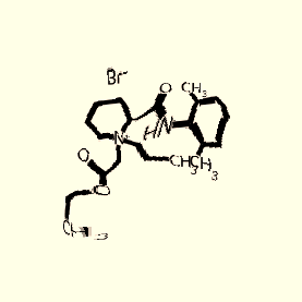 CCC[N+]1(CC(=O)OCC)CCCC[C@H]1C(=O)Nc1c(C)cccc1C.[Br-]